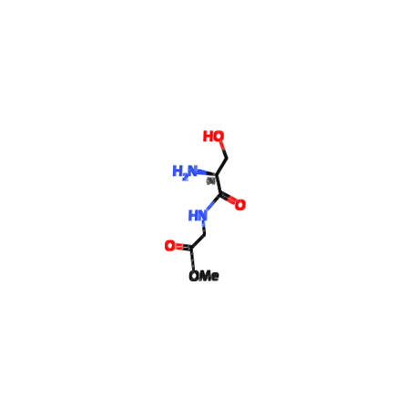 COC(=O)CNC(=O)[C@@H](N)CO